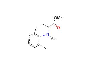 COC(=O)C(C)N(C(C)=O)c1c(C)cccc1C